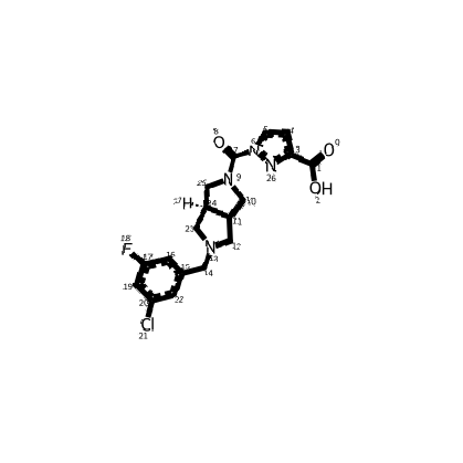 O=C(O)c1ccn(C(=O)N2CC3CN(Cc4cc(F)cc(Cl)c4)C[C@H]3C2)n1